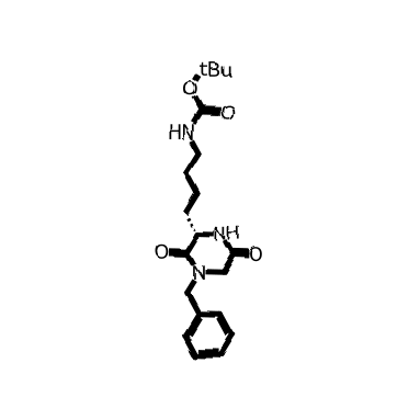 CC(C)(C)OC(=O)NCCCC[C@@H]1NC(=O)CN(Cc2ccccc2)C1=O